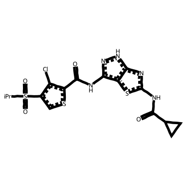 CC(C)S(=O)(=O)c1csc(C(=O)Nc2n[nH]c3nc(NC(=O)C4CC4)sc23)c1Cl